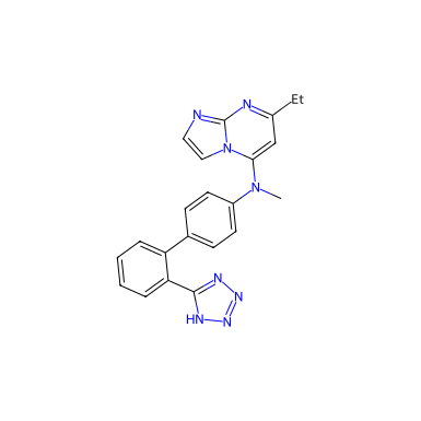 CCc1cc(N(C)c2ccc(-c3ccccc3-c3nnn[nH]3)cc2)n2ccnc2n1